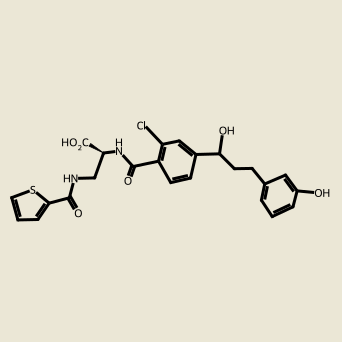 O=C(NC[C@H](NC(=O)c1ccc(C(O)CCc2cccc(O)c2)cc1Cl)C(=O)O)c1cccs1